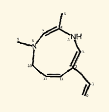 C=CC1=C/N/C(C)=C\N(C)C/C=C\1